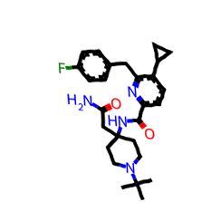 CC(C)(C)N1CCC(CC(N)=O)(NC(=O)c2ccc(C3CC3)c(Cc3ccc(F)cc3)n2)CC1